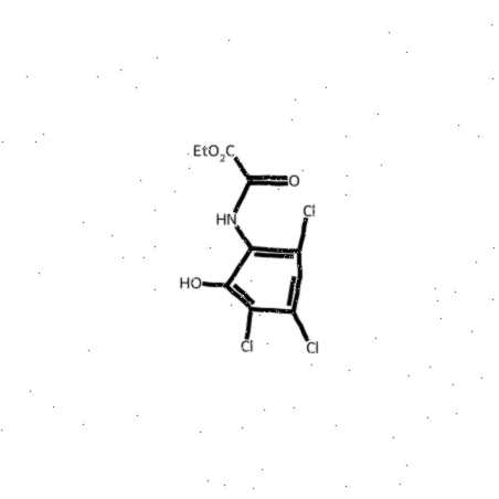 CCOC(=O)C(=O)Nc1c(Cl)cc(Cl)c(Cl)c1O